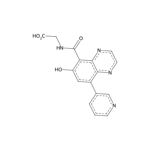 O=C(O)CNC(=O)c1c(O)cc(-c2cccnc2)c2nccnc12